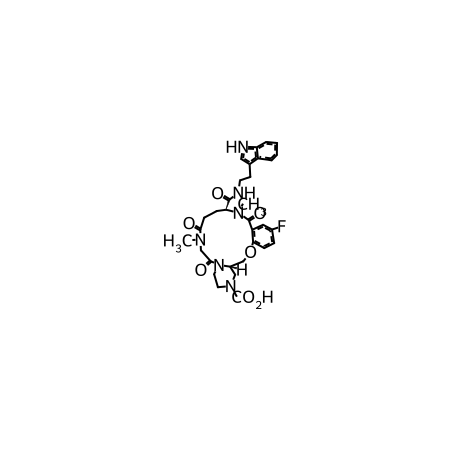 CN1CC(=O)N2CCN(C(=O)O)C[C@H]2COc2ccc(F)cc2C(=O)N(C)[C@H](C(=O)NCCc2c[nH]c3ccccc23)CCC1=O